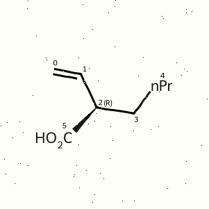 C=C[C@@H](CCCC)C(=O)O